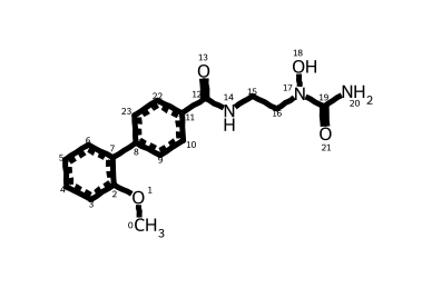 COc1ccccc1-c1ccc(C(=O)NCCN(O)C(N)=O)cc1